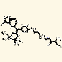 CN(C)C(=O)/C=C/CNCCNc1ccc(C(=C2CC(C)(C)OC(C)(C)C2)c2ccc3[nH]nc(F)c3c2)cn1